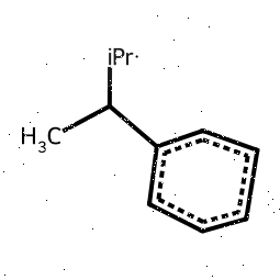 C[C](C)C(C)c1ccccc1